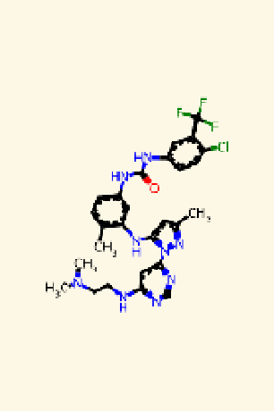 Cc1cc(Nc2cc(NC(=O)Nc3ccc(Cl)c(C(F)(F)F)c3)ccc2C)n(-c2cc(NCCN(C)C)ncn2)n1